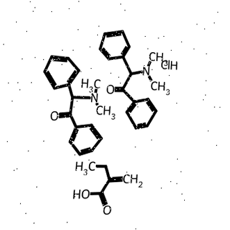 C=C(CC)C(=O)O.CN(C)C(C(=O)c1ccccc1)c1ccccc1.CN(C)C(C(=O)c1ccccc1)c1ccccc1.Cl